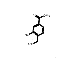 COC(=O)c1ccc(COC(C)=O)c(C#N)c1